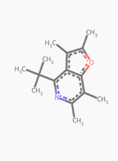 Cc1nc(C(C)(C)C)c2c(C)c(C)oc2c1C